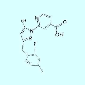 Cc1ccc(Cc2cc(O)n(-c3cc(C(=O)O)ccn3)n2)c(F)c1